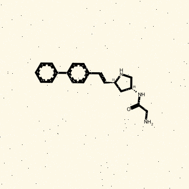 NCC(=O)N[C@H]1CN[C@H](C=Cc2ccc(-c3ccccc3)cc2)C1